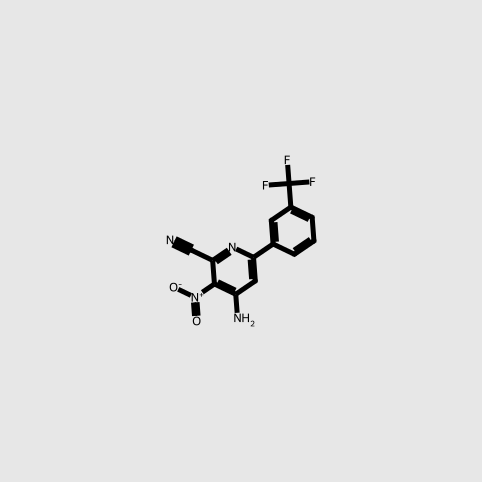 N#Cc1nc(-c2cccc(C(F)(F)F)c2)cc(N)c1[N+](=O)[O-]